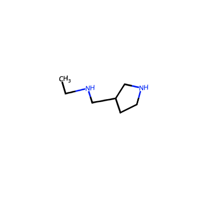 CCNCC1CCNC1